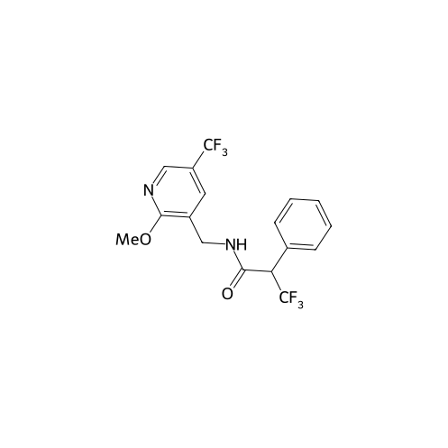 COc1ncc(C(F)(F)F)cc1CNC(=O)C(c1ccccc1)C(F)(F)F